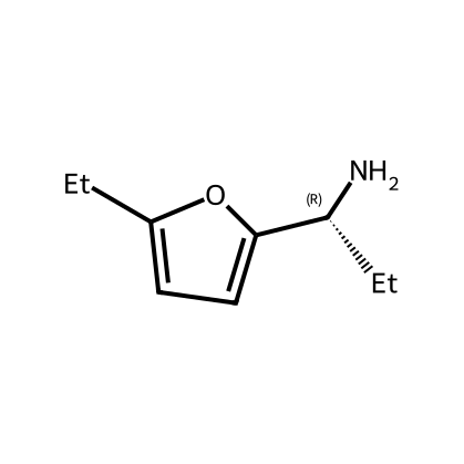 CCc1ccc([C@H](N)CC)o1